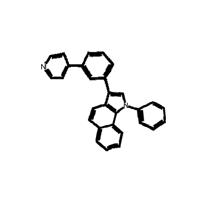 c1ccc(-n2cc(-c3cccc(-c4ccncc4)c3)c3ccc4ccccc4c32)cc1